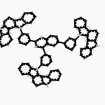 c1cc(-c2ccc3nc(-c4cccc(-n5c6ccccc6c6ccc7sc8ccccc8c7c65)c4)nc(-c4cccc(-n5c6ccccc6c6ccc7sc8ccccc8c7c65)c4)c3c2)cc(-n2c3ccccc3c3ccc4sc5ccccc5c4c32)c1